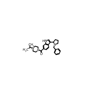 CC(C)N1CCN(C(=O)c2ccc3c(C4CCCN4Cc4ccccc4)c[nH]c3c2)CC1